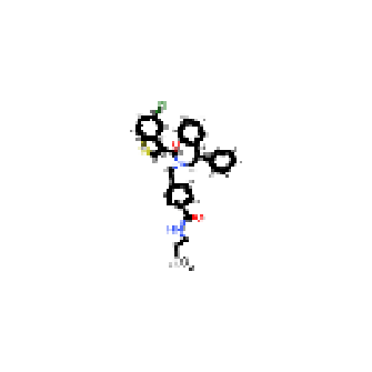 O=C(O)CCNC(=O)c1ccc(CN(CC(c2ccccc2)c2ccccc2)C(=O)c2csc3ccc(Cl)cc23)cc1